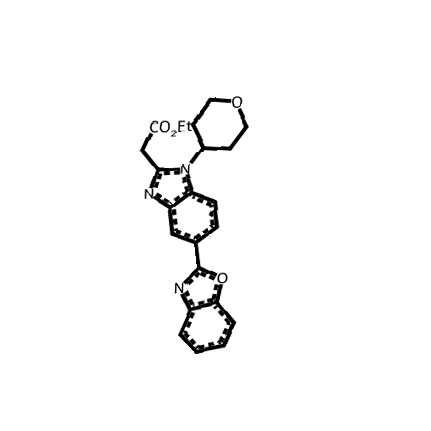 CCOC(=O)Cc1nc2cc(-c3nc4ccccc4o3)ccc2n1C1CCOCC1